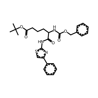 CC(C)(C)OC(=O)CCCC(NC(=O)OCc1ccccc1)C(=O)Nc1nc(-c2ccccc2)cs1